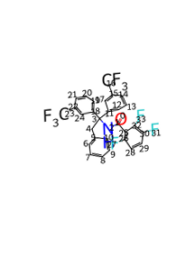 O=C(NC(Cc1ccccc1)(c1cccc(C(F)(F)F)c1)c1cccc(C(F)(F)F)c1)c1c(F)ccc(F)c1F